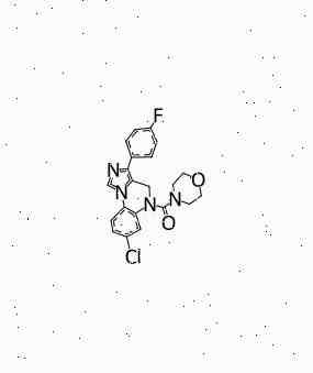 O=C(N1CCOCC1)N1Cc2c(-c3ccc(F)cc3)ncn2-c2ccc(Cl)cc21